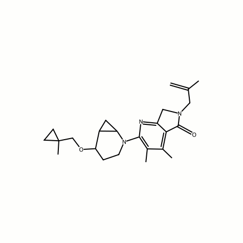 C=C(C)CN1Cc2nc(N3CCC(OCC4(C)CC4)C4CC43)c(C)c(C)c2C1=O